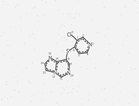 Clc1cnccc1Sc1cncn2ccnc12